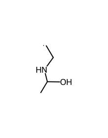 [CH2]CNC(C)O